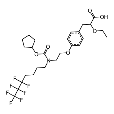 CCOC(Cc1ccc(OCCN(CCCCC(F)(F)C(F)(F)C(F)(F)F)C(=O)OC2CCCC2)cc1)C(=O)O